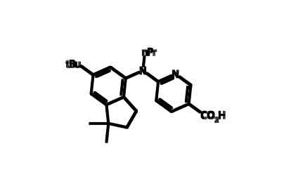 CCCN(c1ccc(C(=O)O)cn1)c1cc(C(C)(C)C)cc2c1CCC2(C)C